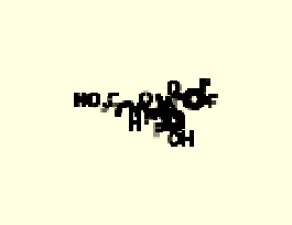 Cc1c([C@H](C)C(=O)NCC(C)C(=O)O)c2c(F)c(O)ccc2n1C(=O)c1ccc(F)c(F)c1